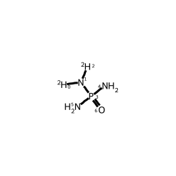 [2H]N([2H])P(N)(N)=O